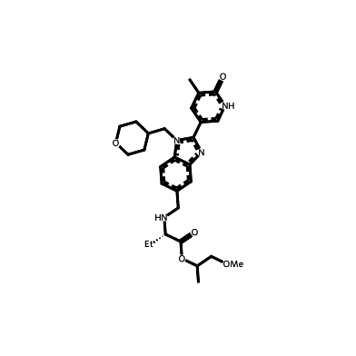 CC[C@H](NCc1ccc2c(c1)nc(-c1c[nH]c(=O)c(C)c1)n2CC1CCOCC1)C(=O)OC(C)COC